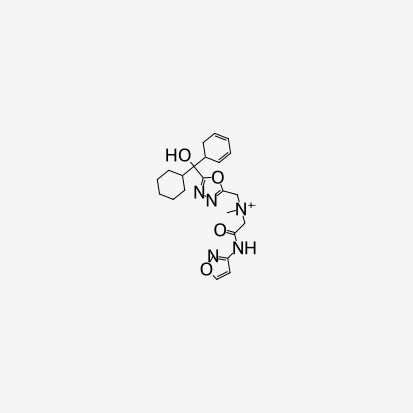 C[N+](C)(CC(=O)Nc1ccon1)Cc1nnc(C(O)(C2C=CC=CC2)C2CCCCC2)o1